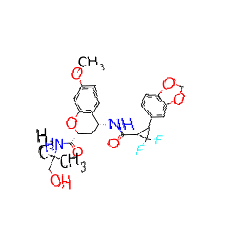 COc1ccc2c(c1)O[C@@H](C(=O)NC(C)(C)CO)C[C@H]2NC(=O)C1C(c2ccc3c(c2)OCO3)C1(F)F